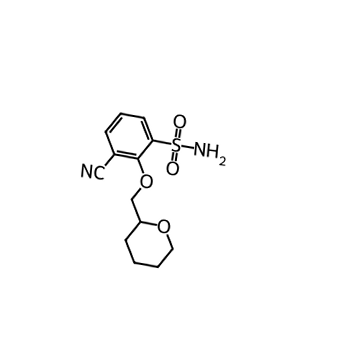 N#Cc1cccc(S(N)(=O)=O)c1OCC1CCCCO1